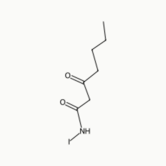 CCCCC(=O)CC(=O)NI